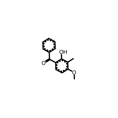 COc1ccc(C(=O)c2ccccc2)c(O)c1C